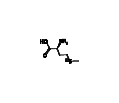 C[32S]CC[C@H](N)C(=O)O